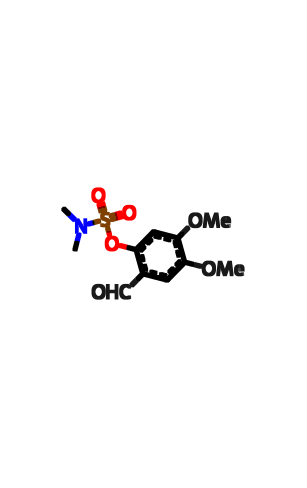 COc1cc(C=O)c(OS(=O)(=O)N(C)C)cc1OC